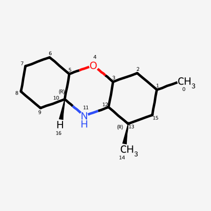 CC1CC2OC3CCCC[C@H]3NC2[C@H](C)C1